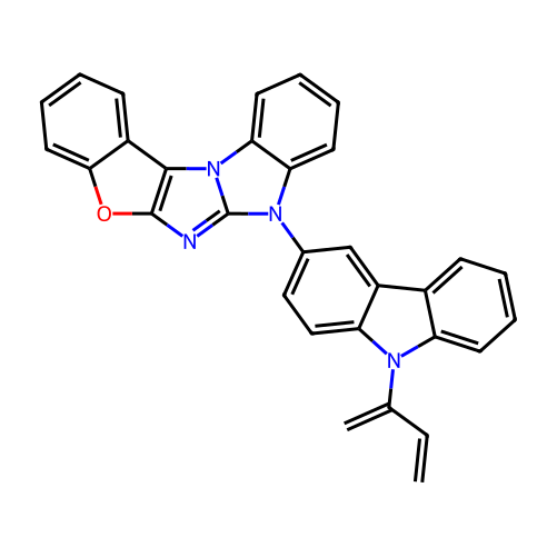 C=CC(=C)n1c2ccccc2c2cc(-n3c4ccccc4n4c5c(nc34)oc3ccccc35)ccc21